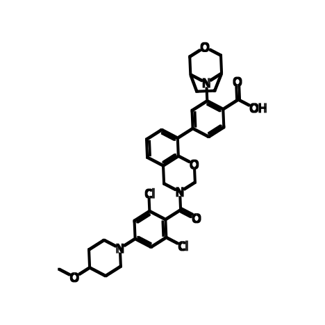 COC1CCN(c2cc(Cl)c(C(=O)N3COc4c(cccc4-c4ccc(C(=O)O)c(N5C6CCC5COC6)c4)C3)c(Cl)c2)CC1